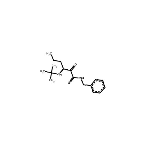 CCCC(NC(C)(C)C)C(=O)C(=O)NCc1ccccc1